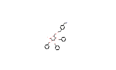 COC1OC(COCCc2ccc(CCN)cc2)C(OCc2ccccc2)C(OCc2ccccc2)C1OCc1ccccc1